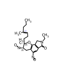 CCC/C(C)=C/CC[C@@]1(C)Oc2c(c(N=O)cc3c2CN(CC)C3=O)C[C@H]1N=O